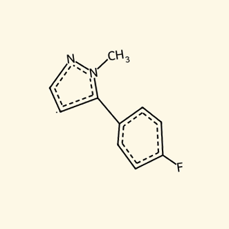 Cn1nc[c]c1-c1ccc(F)cc1